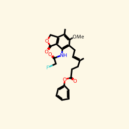 COc1c(C)c2c(c(NC(=O)CF)c1C/C=C(\C)CCC(=O)Oc1ccccc1)C(=O)OC2